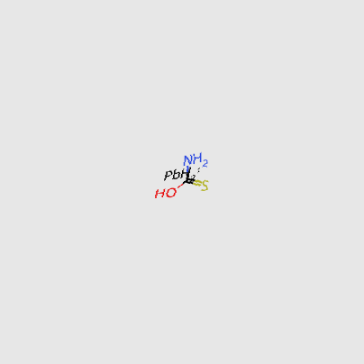 NC(O)=S.[PbH2]